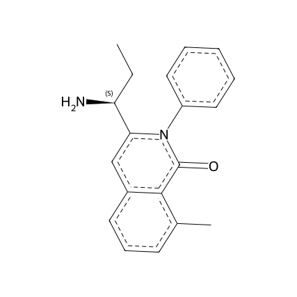 CC[C@H](N)c1cc2cccc(C)c2c(=O)n1-c1ccccc1